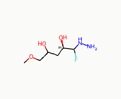 COCC(O)C[C@@H](O)C(F)NN